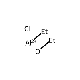 CC[O-].C[CH2][Al+2].[Cl-]